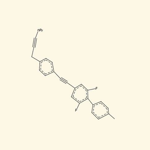 CCCC#CCc1ccc(C#Cc2cc(F)c(-c3ccc(C)cc3)c(F)c2)cc1